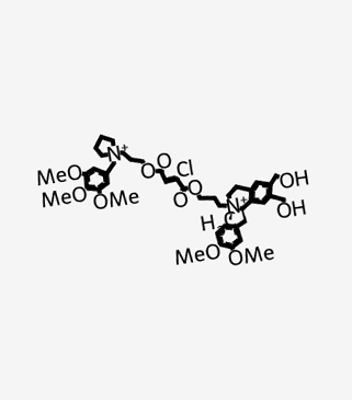 COc1ccc(C[C@@H]2c3cc(CO)c(CO)cc3CC[N@@+]2(C)CCCOC(=O)/C(Cl)=C/C(=O)OCCC[N+]2(Cc3cc(OC)c(OC)c(OC)c3)CCCC2)cc1OC